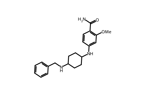 COc1cc(NC2CCC(NCc3ccccc3)CC2)ccc1C(N)=O